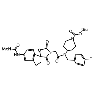 CNC(=O)Nc1ccc2c(c1)CC[C@@]21OC(=O)N(CC(=O)N(Cc2ccc(F)cc2)C2CCN(C(=O)OC(C)(C)C)CC2)C1=O